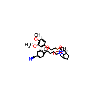 CCCCS(=O)(=O)N1CC2CCC(C1)C2N(C)CCCC(Oc1ccc(OC)c(OC)c1)c1ccc(C#N)cc1